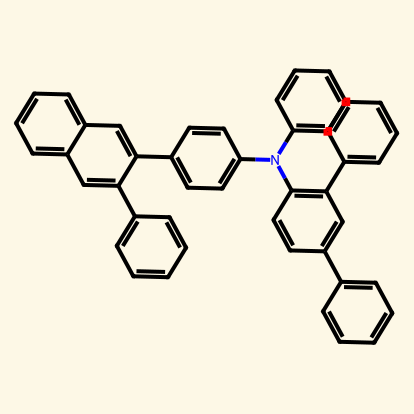 c1ccc(-c2ccc(N(c3ccccc3)c3ccc(-c4cc5ccccc5cc4-c4ccccc4)cc3)c(-c3ccccc3)c2)cc1